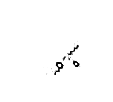 CCOC(Cc1ccc(OCCN(CCCCCCC(F)(F)F)C(=O)Nc2ccc(Cl)cc2)cc1)C(=O)O